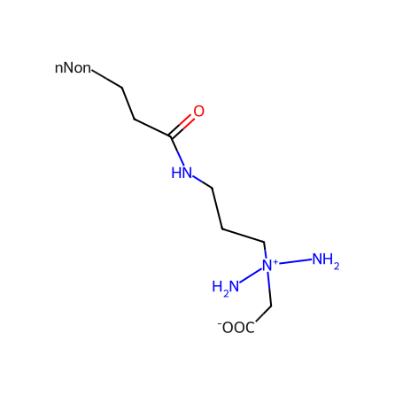 CCCCCCCCCCCC(=O)NCCC[N+](N)(N)CC(=O)[O-]